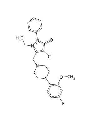 CCn1c(CN2CCN(c3ccc(F)cc3OC)CC2)c(Cl)c(=O)n1-c1ccccc1